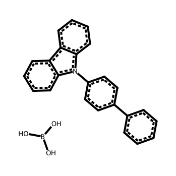 OB(O)O.c1ccc(-c2ccc(-n3c4ccccc4c4ccccc43)cc2)cc1